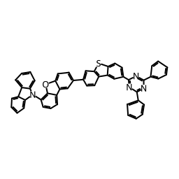 c1ccc(-c2nc(-c3ccccc3)nc(-c3ccc4sc5cc(-c6ccc7oc8c(-n9c%10ccccc%10c%10ccccc%109)cccc8c7c6)ccc5c4c3)n2)cc1